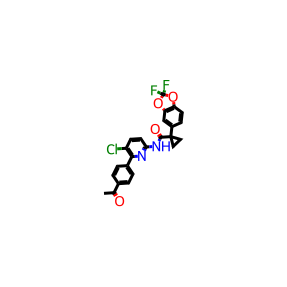 CC(=O)c1ccc(-c2nc(NC(=O)C3(c4ccc5c(c4)OC(F)(F)O5)CC3)ccc2Cl)cc1